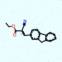 CCOC(=O)/C(C#N)=C/c1ccc2c(c1)Cc1ccccc1-2